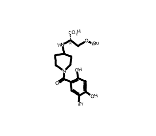 CC(C)c1cc(C(=O)N2CCC(N[C@@H](COC(C)(C)C)C(=O)O)CC2)c(O)cc1O